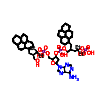 CCC(CC)(CC(COP(=O)(O)OC1CC(N2C=NC3C(N)=NC=NC32)OC1COP(=O)(O)OC(CC)(CC)C(CO)Cc1ccc2ccc3cccc4ccc1c2c34)Cc1ccc2ccc3cccc4ccc1c2c34)OP(=O)(O)O